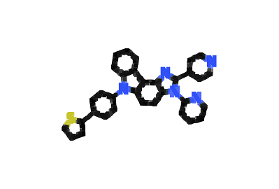 c1ccc(-n2c(-c3ccncc3)nc3c4c5ccccc5n(-c5ccc(-c6cccs6)cc5)c4ccc32)nc1